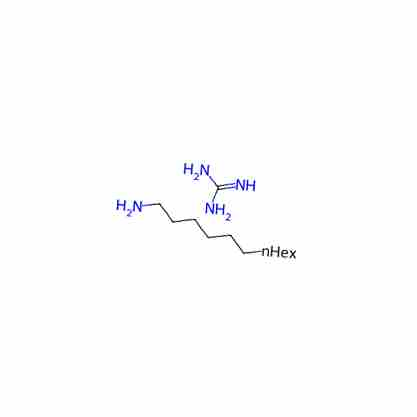 CCCCCCCCCCCCN.N=C(N)N